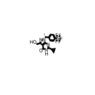 C[C@H](c1ccc(S(F)(F)(F)(F)F)cc1)n1nc(CO)c2c(=O)[nH]c(C3CC3)nc21